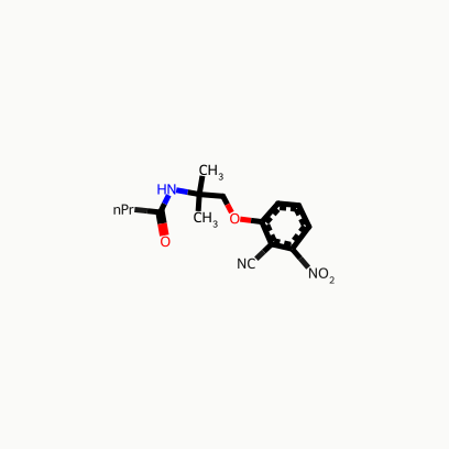 CCCC(=O)NC(C)(C)COc1cccc([N+](=O)[O-])c1C#N